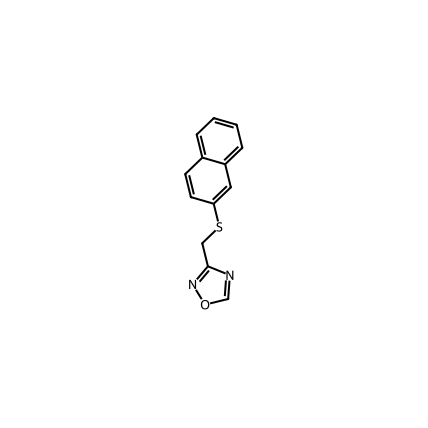 c1ccc2cc(SCc3ncon3)ccc2c1